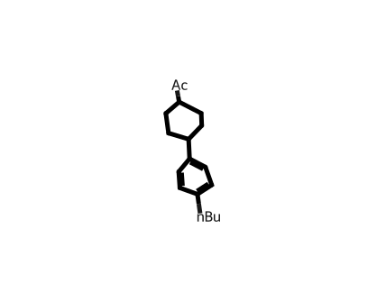 CCCCc1ccc(C2CCC(C(C)=O)CC2)cc1